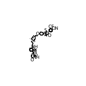 C[C@@H]1CN(CCO[C@H]2CC[C@H](N3C(=S)N(c4ccc(C#N)c(C(F)(F)F)c4)C(=O)C3(C)C)CC2)C[C@H](C)N1CCCNc1cccc2c(N3CCC(=O)NC3=O)nn(C)c12